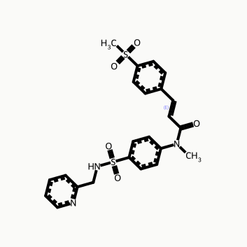 CN(C(=O)/C=C/c1ccc(S(C)(=O)=O)cc1)c1ccc(S(=O)(=O)NCc2ccccn2)cc1